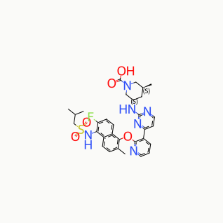 Cc1ccc2c(NS(=O)(=O)CC(C)C)c(F)ccc2c1Oc1ncccc1-c1ccnc(N[C@H]2C[C@H](C)CN(C(=O)O)C2)n1